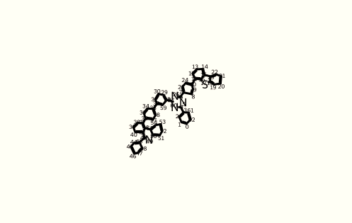 c1ccc(-c2nc(-c3ccc(-c4cccc5c4sc4ccccc45)cc3)nc(-c3cccc(-c4ccc(-c5cccc6c(-c7ccccc7)nc7ccccc7c56)cc4)c3)n2)cc1